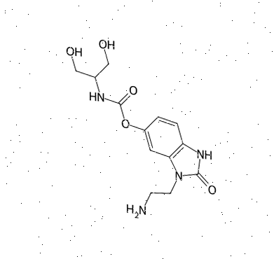 NCCn1c(=O)[nH]c2ccc(OC(=O)NC(CO)CO)cc21